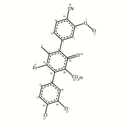 CCOc1cc(-c2c(C)n(CC)c(-c3ccc(Cl)c(Cl)c3)c(C(=O)O)c2=O)ccc1C#N